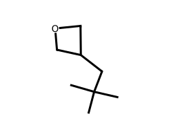 CC(C)(C)CC1COC1